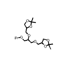 CC(C)OCC(COCC1COC(C)(C)O1)OCC1COC(C)(C)O1